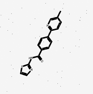 Cc1ccc(-c2ccc(C(=O)Nc3nccs3)cc2)nc1